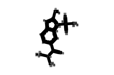 Cc1nc2ccc(C(=O)N(C)C)cc2n1S(C)(=O)=O